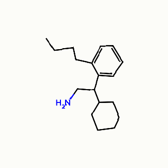 CCCCc1ccccc1C(CN)C1CCCCC1